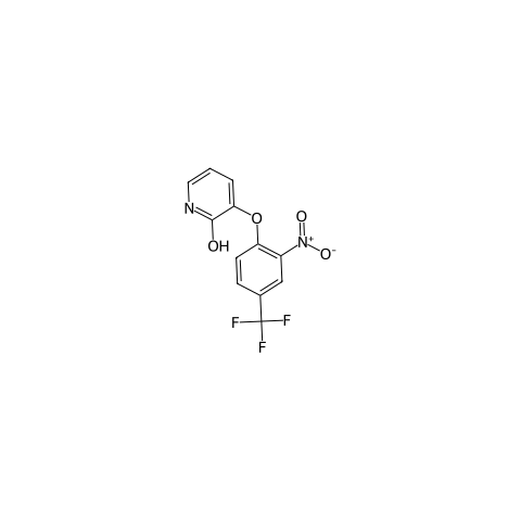 O=[N+]([O-])c1cc(C(F)(F)F)ccc1Oc1cccnc1O